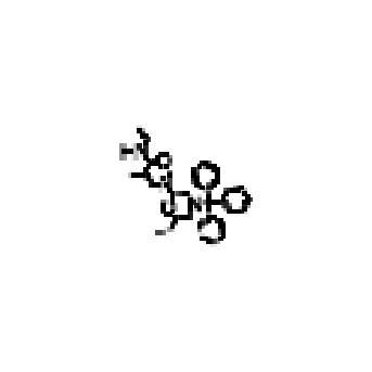 C=CNC(=O)/C(C)=C\N(C)C1CN(C(c2ccccc2)(c2ccccc2)c2ccccc2)CC(CC)O1